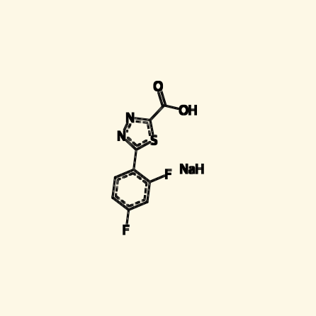 O=C(O)c1nnc(-c2ccc(F)cc2F)s1.[NaH]